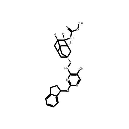 CC(C)(C)OC(=O)N[C@@H]1[C@@H]2CC3C[C@H]1C[C@](CNc1nc(NC4CCc5ccccc54)ncc1C#N)(C3)C2